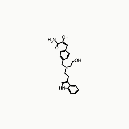 NC(=O)/C(O)=C\c1ccc(CN(CCO)CCc2c[nH]c3ccccc23)cc1